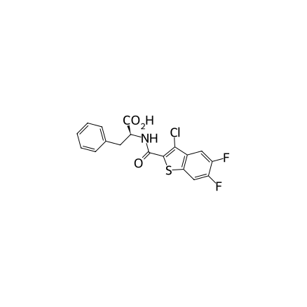 O=C(N[C@@H](Cc1ccccc1)C(=O)O)c1sc2cc(F)c(F)cc2c1Cl